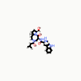 CN[C@@H](Cc1c[nH]c2ccccc12)C(=O)N[C@H]1CN(C(=O)CC(C)C)CC[C@H]2CC[C@@H](C=O)N2C1=O